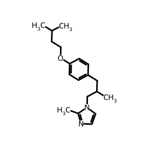 Cc1nccn1CC(C)Cc1ccc(OCCC(C)C)cc1